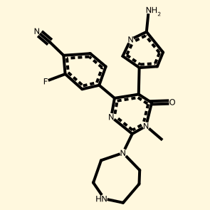 Cn1c(N2CCCNCC2)nc(-c2ccc(C#N)c(F)c2)c(-c2ccc(N)nc2)c1=O